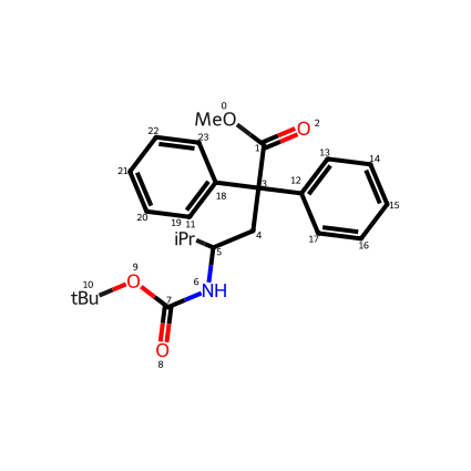 COC(=O)C(CC(NC(=O)OC(C)(C)C)C(C)C)(c1ccccc1)c1ccccc1